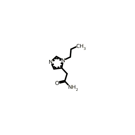 CCCn1cncc1CC(N)=O